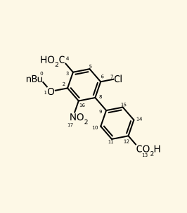 CCCCOc1c(C(=O)O)cc(Cl)c(-c2ccc(C(=O)O)cc2)c1[N+](=O)[O-]